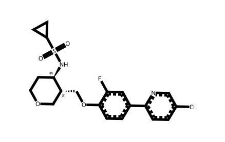 O=S(=O)(N[C@@H]1CCOC[C@H]1COc1ccc(-c2ccc(Cl)cn2)cc1F)C1CC1